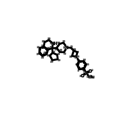 CC(C)(C)S(=O)(=O)c1ccc(N2CC(CN3CCC(C4(C5CCCC5)NCCc5ccccc54)CC3)C2)cc1